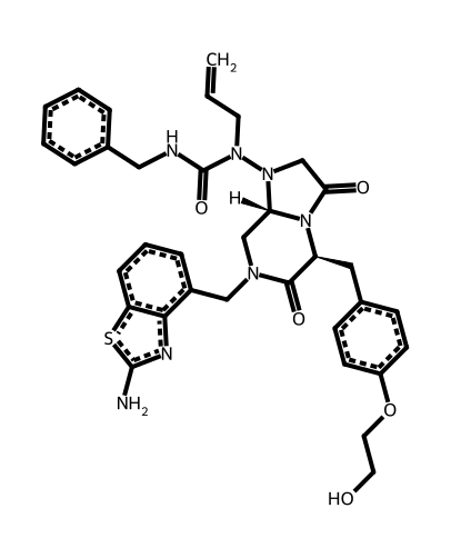 C=CCN(C(=O)NCc1ccccc1)N1CC(=O)N2[C@@H](Cc3ccc(OCCO)cc3)C(=O)N(Cc3cccc4sc(N)nc34)C[C@@H]21